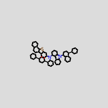 c1ccc(-c2ccc(-c3ccccc3N(c3ccc4c(c3)sc3c5ccccc5ccc43)c3cccc4c3c3ccccc3n4-c3ccc(-c4ccccc4)c4ccccc34)cc2)cc1